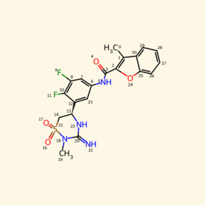 Cc1c(C(=O)Nc2cc(F)c(F)c([C@@H]3CS(=O)(=O)N(C)C(=N)N3)c2)oc2ccccc12